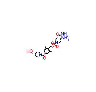 Cc1cc(C(=O)N2CCC(CO)CC2)cc(C)c1C=CS(=O)(=O)N1CCC(N)(C(N)=O)CC1